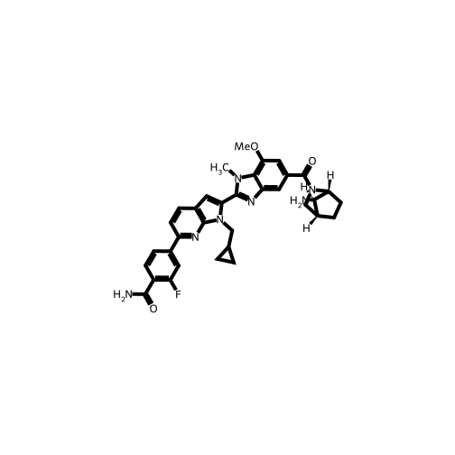 COc1cc(C(=O)N2C[C@H]3CC[C@@H]2[C@@H]3N)cc2nc(-c3cc4ccc(-c5ccc(C(N)=O)c(F)c5)nc4n3CC3CC3)n(C)c12